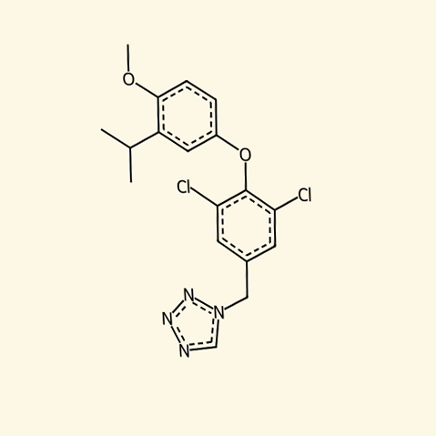 COc1ccc(Oc2c(Cl)cc(Cn3cnnn3)cc2Cl)cc1C(C)C